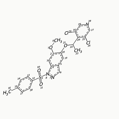 COc1cc2c(cnn2S(=O)(=O)c2ccc(C)cc2)cc1OC(C)c1c(Cl)cncc1Cl